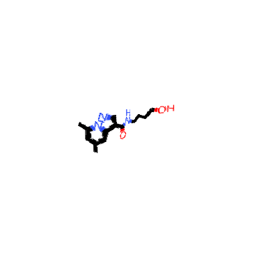 Cc1cc(C)n2ncc(C(=O)NCCCCO)c2c1